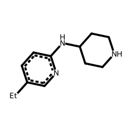 CCc1ccc(NC2CCNCC2)nc1